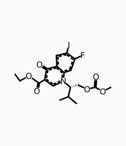 CCOC(=O)c1cn([C@H](COC(=O)OC)C(C)C)c2cc(F)c(I)cc2c1=O